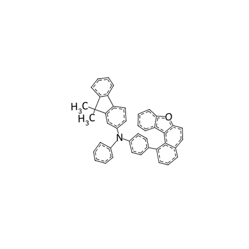 CC1(C)c2ccccc2-c2ccc(N(c3ccccc3)c3ccc(-c4cccc5ccc6oc7ccccc7c6c45)cc3)cc21